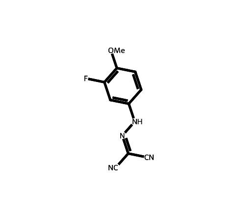 COc1ccc(NN=C(C#N)C#N)cc1F